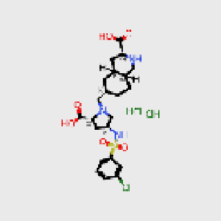 Cl.Cl.O=C(O)[C@@H]1C[C@H]2C[C@@H](CN3C[C@@H](NS(=O)(=O)c4cccc(Cl)c4)C[C@H]3C(=O)O)CC[C@H]2CN1